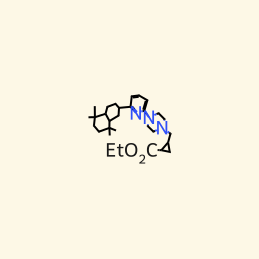 CCOC(=O)C1CC1CN1CCN(c2cccc(C3CCC4C(C3)C(C)(C)CCC4(C)C)n2)CC1